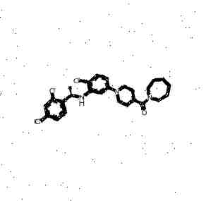 C[C@@H](Nc1cc(N2CCC(C(=O)N3CCCCCC3)CC2)ccc1Cl)c1ccc(Cl)cc1Cl